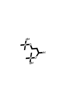 CC(=O)C(CCO[Si](C)(C)C(C)(C)C)O[Si](C)(C)C(C)(C)C